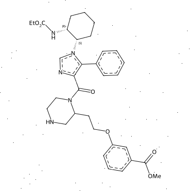 CCOC(=O)N[C@@H]1CCCC[C@@H]1n1cnc(C(=O)N2CCNCC2CCOc2cccc(C(=O)OC)c2)c1-c1ccccc1